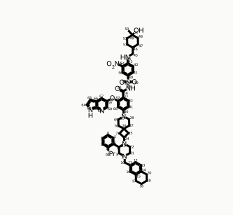 CC(C)c1ccccc1C1CN(Cc2ccc3c(c2)CCCC3)CCN1C1CC2(CCN(c3ccc(C(=O)NS(=O)(=O)c4ccc(NCC5CCC(C)(O)CC5)c([N+](=O)[O-])c4)c(Oc4cnc5[nH]ccc5c4)c3)CC2)C1